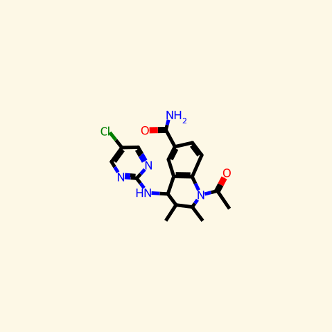 CC(=O)N1c2ccc(C(N)=O)cc2C(Nc2ncc(Cl)cn2)C(C)C1C